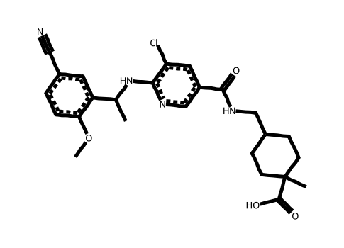 COc1ccc(C#N)cc1C(C)Nc1ncc(C(=O)NCC2CCC(C)(C(=O)O)CC2)cc1Cl